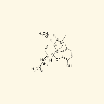 CN1CC[C@]23c4c5ccc(O)c4O[C@H]2[C@@H](O)C=C[C@H]3[C@H]1C5.O.O.O.O.O